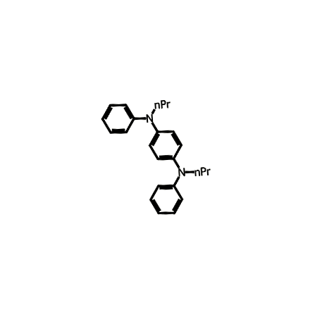 CCCN(c1ccccc1)c1ccc(N(CCC)c2ccccc2)cc1